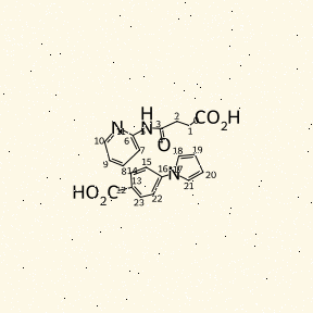 O=C(O)CCC(=O)Nc1ccccn1.O=C(O)c1ccc(-n2cccc2)cc1